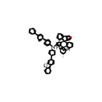 C[C@@H]1C[C@H]2CCC[C@@H](C1)C21c2ccccc2C2(c3ccccc3-c3ccccc32)c2ccc(N(c3ccc(-c4ccc(-c5ccccc5)cc4)cc3)c3ccc(-c4ccc5c(c4)oc4ccccc45)cc3)cc21